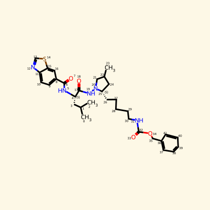 CC(C)C[C@H](NC(=O)c1ccc2ncsc2c1)C(=O)NN1CC(C)C[C@@H]1CCCCCNC(=O)OCc1ccccc1